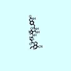 C=Cc1ncc(C#N)c2c1N(C(=O)c1cnc(Nc3snc(O)c3C(=N)NCCc3ccc4c(c3)NC(=O)C4)s1)CC2